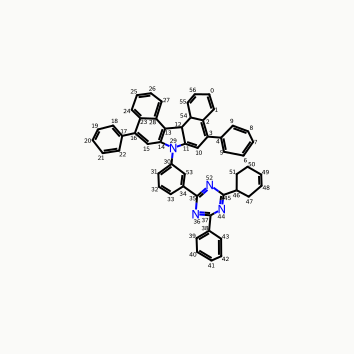 C1=CC2=C(c3ccccc3)C=C3C(c4c(cc(-c5ccccc5)c5ccccc45)N3c3cccc(-c4nc(-c5ccccc5)nc(C5CC=CCC5)n4)c3)C2C=C1